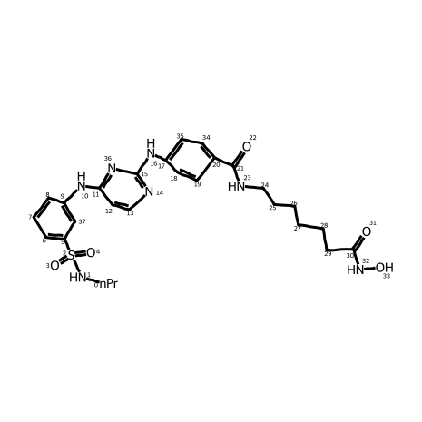 CCCNS(=O)(=O)c1cccc(Nc2ccnc(Nc3ccc(C(=O)NCCCCCCC(=O)NO)cc3)n2)c1